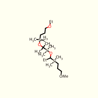 CCOCCC[Si](C)(C)OC(C)(C)[Si](C)(C)OC(CC)[Si](C)(C)CCCOC